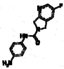 Nc1ccc(NC(=O)N2Cc3cc(F)cnc3C2)cc1